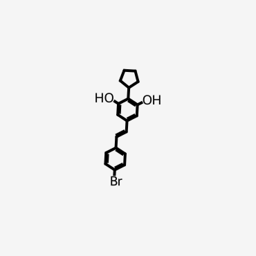 Oc1cc(C=Cc2ccc(Br)cc2)cc(O)c1C1CCCC1